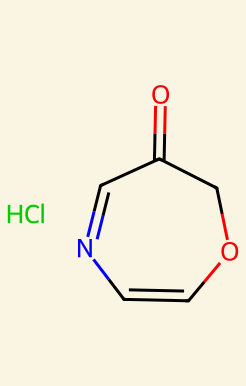 Cl.O=C1C=NC=COC1